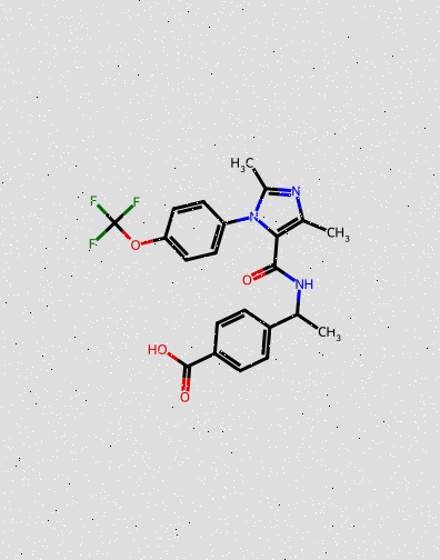 Cc1nc(C)n(-c2ccc(OC(F)(F)F)cc2)c1C(=O)NC(C)c1ccc(C(=O)O)cc1